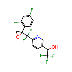 OC(c1ccc(C(F)(F)C2(c3ccc(F)cc3F)CO2)nc1)C(F)(F)F